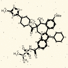 COc1ccc2c(c1)C(C)C(C)(C(=O)N1CCC(c3nc(C)no3)CC1)Cn1c-2c(C2CCCCC2)c2ccc(C(=O)NS(=O)(=O)N(C)C)cc21